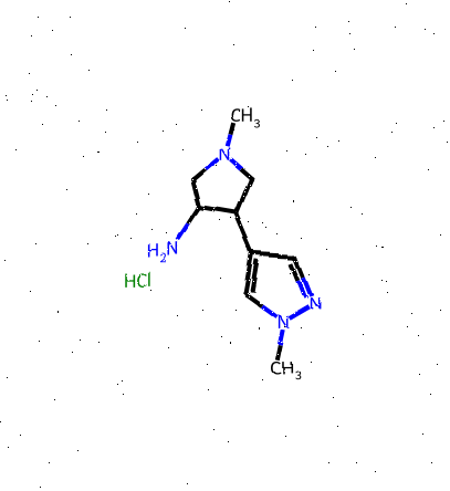 CN1CC(N)C(c2cnn(C)c2)C1.Cl